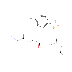 CCCC(C)COC(=O)CCC(=O)CN.Cc1ccc(S(=O)(=O)O)cc1